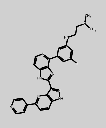 CN(C)CCNc1cc(F)cc(-c2nccc3[nH]c(-c4n[nH]c5ccc(-c6ccncc6)nc45)nc23)c1